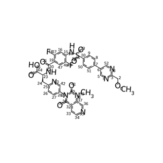 COCc1ncc(-c2ccc(S(=O)(=O)Nc3cc(F)c(C(=O)N[C@@H](Cc4ccc(-n5c(=O)c6ccncc6n(C)c5=O)cn4)C(=O)O)cc3F)cc2)cn1